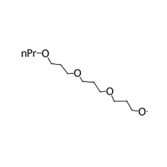 CCCOCCCOCCCOCCC[O]